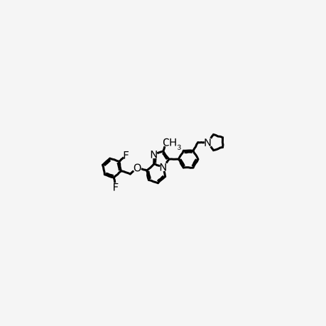 Cc1nc2c(OCc3c(F)cccc3F)cccn2c1-c1cccc(CN2CCCC2)c1